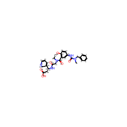 CN(Cc1ccccc1)C(=O)Nc1ccc2c(c1)C(=O)N(CC(=O)N[C@@H](CC(=O)O)c1cccnc1)CCO2